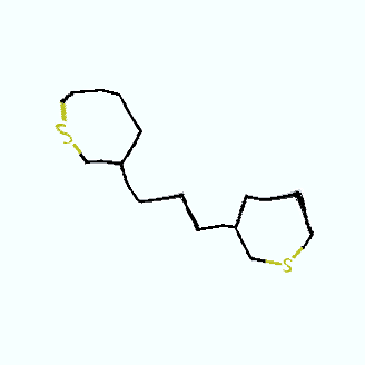 C1CSCC(CCCC2CCCSC2)C1